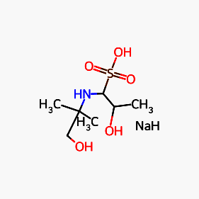 CC(O)C(NC(C)(C)CO)S(=O)(=O)O.[NaH]